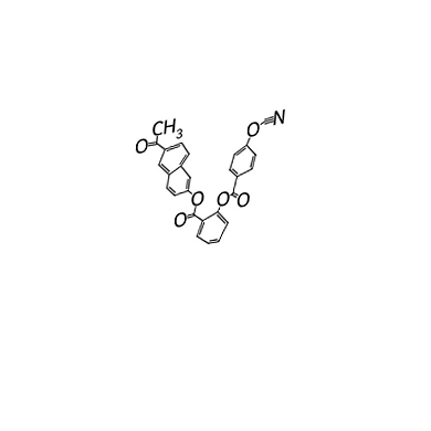 CC(=O)c1ccc2cc(OC(=O)c3ccccc3OC(=O)c3ccc(OC#N)cc3)ccc2c1